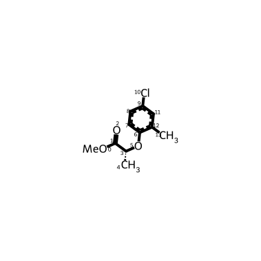 COC(=O)[C@@H](C)Oc1ccc(Cl)cc1C